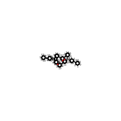 c1ccc(-c2ccc(N(c3ccc(-c4ccccc4)cc3)c3ccccc3-c3cccc(-c4cccc5c4c4ccccc4n5-c4ccc(-c5ccccc5)cc4)c3)cc2)cc1